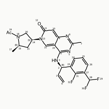 C=C[C@@H](Nc1nc(C)nc2cc(=O)n([C@H]3C[C@@H](C)N(C(C)=O)C3)cc12)c1cccc(C(F)F)c1F